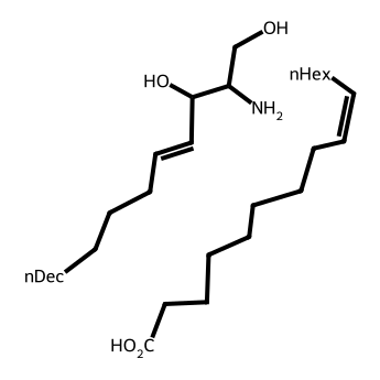 CCCCCC/C=C\CCCCCCCC(=O)O.CCCCCCCCCCCCC/C=C/C(O)C(N)CO